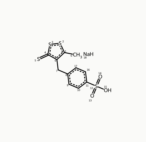 Cc1ssc(=S)c1Cc1ccc(S(=O)(=O)O)cc1.[NaH]